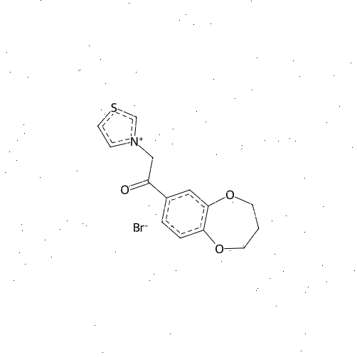 O=C(C[n+]1ccsc1)c1ccc2c(c1)OCCCO2.[Br-]